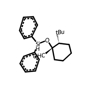 CC(C)(C)[C@@H]1CCCC[C@]1(C=O)O[SiH](c1ccccc1)c1ccccc1